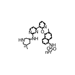 CCCS(=O)(=O)Nc1cccc2c(Oc3ncccc3-c3ccnc(N[C@@H]4CNC[C@H](C)C4)n3)c(C)ccc12